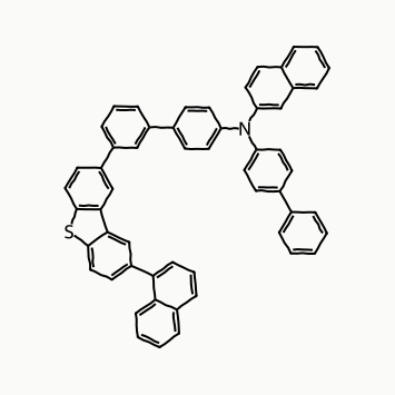 c1ccc(-c2ccc(N(c3ccc(-c4cccc(-c5ccc6sc7ccc(-c8cccc9ccccc89)cc7c6c5)c4)cc3)c3ccc4ccccc4c3)cc2)cc1